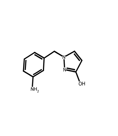 Nc1cccc(Cn2ccc(O)n2)c1